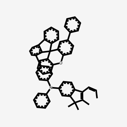 C/C=C\C1=C(C)C(C)(C)c2cc(N(c3ccccc3)c3ccc(-c4cccc5c4C4(c6ccccc6Oc6ccc(-c7ccccc7)cc64)c4ccccc4-5)cc3)ccc21